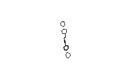 CC[C@H]1CC[C@H](c2ccc(C#C/C=C/C3CCC([C@H]4CC[C@H](C)CC4)CC3)cc2)CC1